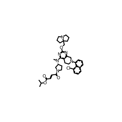 CC(C)OC(=O)/C=C/C(=O)N1CC[C@@H](N(C)c2nc(OCC34CCCN3CCC4)nc3c2CCN(c2cccc4cccc(Cl)c24)C3)C1